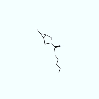 CCCCOC(=O)N1CC2C(N)C2C1